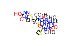 CCN1CCN(N(C=O)C(C(=O)N[C@]2(NC=O)C(=O)N3C(C(=O)O)=C(CSc4nnc(O)c(=O)n4C)CS[C@H]32)c2cccs2)C(=O)C1=O